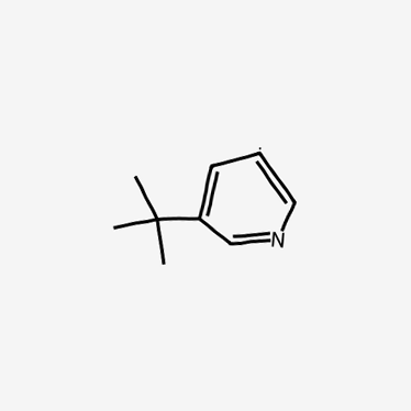 CC(C)(C)c1c[c]cnc1